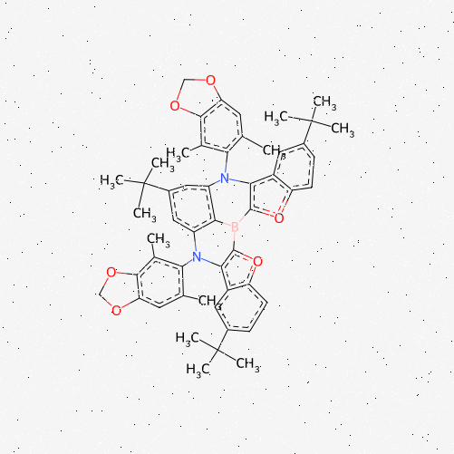 Cc1cc2c(c(C)c1N1c3cc(C(C)(C)C)cc4c3B(c3oc5ccc(C(C)(C)C)cc5c31)c1oc3ccc(C(C)(C)C)cc3c1N4c1c(C)cc3c(c1C)OCO3)OCO2